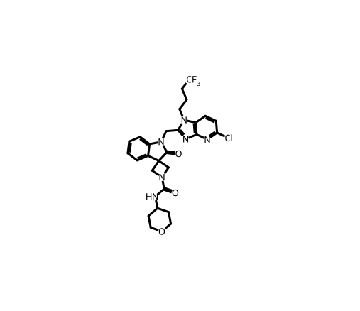 O=C(NC1CCOCC1)N1CC2(C1)C(=O)N(Cc1nc3nc(Cl)ccc3n1CCCC(F)(F)F)c1ccccc12